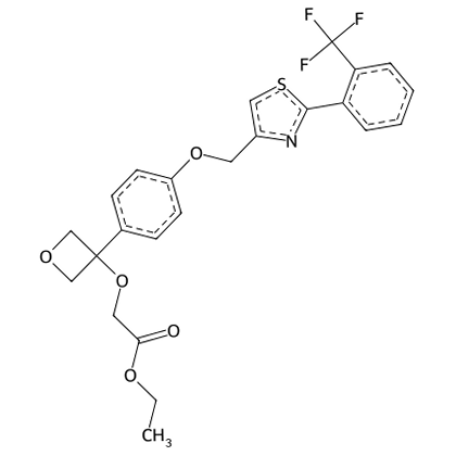 CCOC(=O)COC1(c2ccc(OCc3csc(-c4ccccc4C(F)(F)F)n3)cc2)COC1